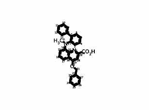 CN(c1ccccc1-c1ccccc1)c1cccc2c(OCc3ccccc3)cc(C(=O)O)nc12